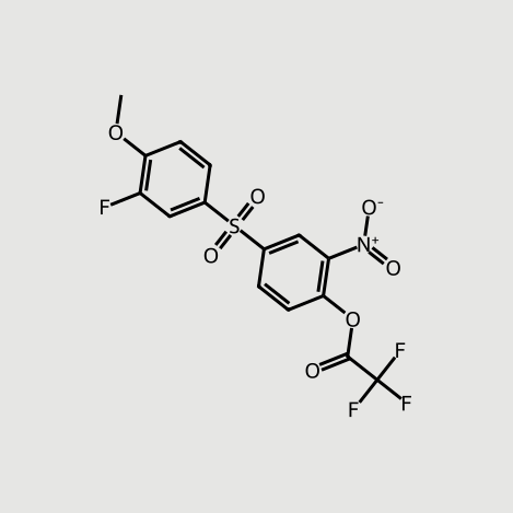 COc1ccc(S(=O)(=O)c2ccc(OC(=O)C(F)(F)F)c([N+](=O)[O-])c2)cc1F